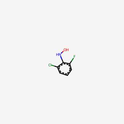 ONc1c(F)cccc1Cl